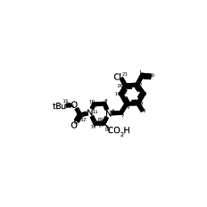 C=Cc1cc(C)c(CN2CCN(C(=O)OC(C)(C)C)C[C@H]2C(=O)O)cc1Cl